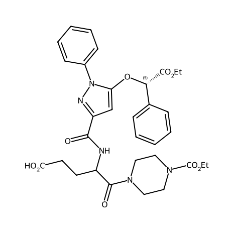 CCOC(=O)[C@@H](Oc1cc(C(=O)NC(CCC(=O)O)C(=O)N2CCN(C(=O)OCC)CC2)nn1-c1ccccc1)c1ccccc1